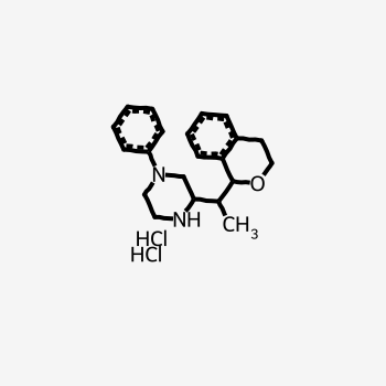 CC(C1CN(c2ccccc2)CCN1)C1OCCc2ccccc21.Cl.Cl